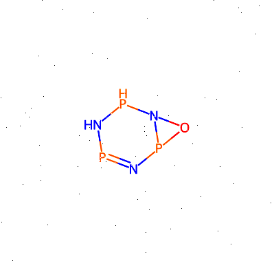 n1p[nH][pH]n2op12